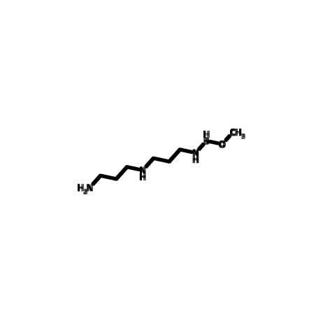 COBNCCCNCCCN